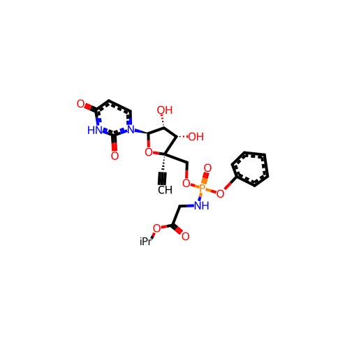 C#C[C@]1(COP(=O)(NCC(=O)OC(C)C)Oc2ccccc2)O[C@@H](n2ccc(=O)[nH]c2=O)[C@H](O)[C@@H]1O